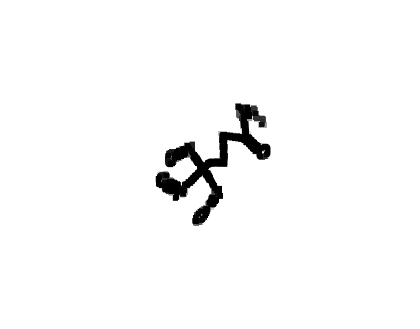 NC(=O)CCC(N=O)(N=O)N=O